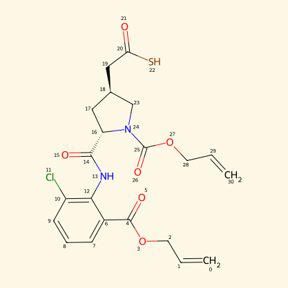 C=CCOC(=O)c1cccc(Cl)c1NC(=O)[C@@H]1C[C@@H](CC(=O)S)CN1C(=O)OCC=C